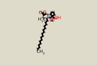 CCCCCCCCCCCCCCCCCCN(C[C@H]1OC(=O)[C@H]1CC)C(=O)C1(C(=O)O)CCCC1